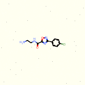 NCCNC(=O)c1nc(-c2ccc(Cl)cc2)no1